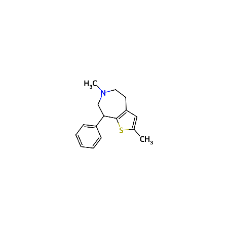 Cc1cc2c(s1)C(c1ccccc1)CN(C)CC2